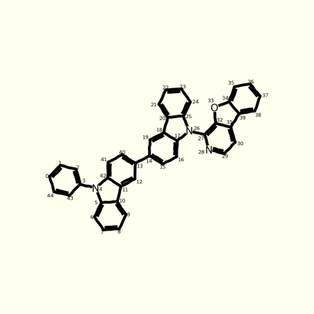 c1ccc(-n2c3ccccc3c3cc(-c4ccc5c(c4)c4ccccc4n5-c4nccc5c4oc4ccccc45)ccc32)cc1